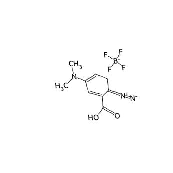 CN(C)C1=CCC(=[N+]=[N-])C(C(=O)O)=C1.F[B-](F)(F)F